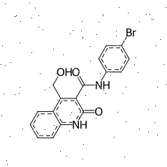 O=C(Nc1ccc(Br)cc1)c1c(CO)c2ccccc2[nH]c1=O